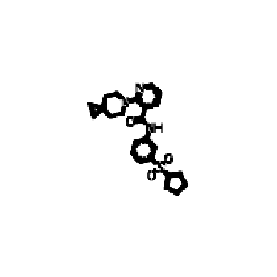 O=C(Nc1cccc(S(=O)(=O)C2CCCC2)c1)c1cccnc1N1CCC2(CC1)CC2